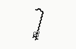 CC/C=C\C/C=C\C/C=C/CCCCCCCCOC(=O)OC(C(C)C)C(C)C